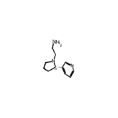 NCCN1CCC[C@H]1c1cccnc1